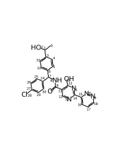 CC(O)c1ccc(C(NC(=O)c2cnc(-c3cccnn3)nc2O)c2ccc(Cl)cc2)cc1